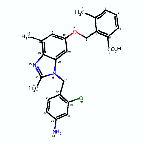 Cc1cccc(C(=O)O)c1COc1cc(C)c2nc(C)n(Cc3ccc(N)cc3Cl)c2c1